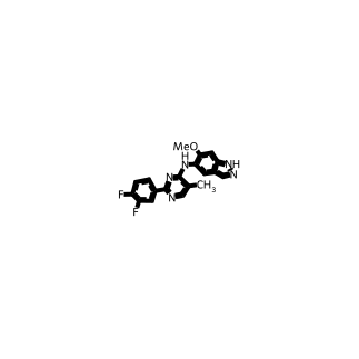 COc1cc2[nH]ncc2cc1Nc1nc(-c2ccc(F)c(F)c2)ncc1C